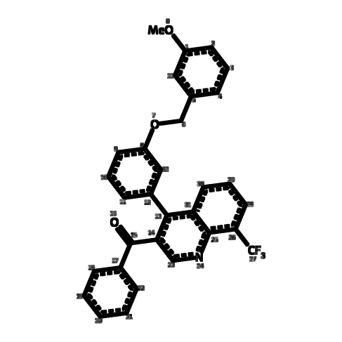 COc1cccc(COc2cccc(-c3c(C(=O)c4ccccc4)cnc4c(C(F)(F)F)cccc34)c2)c1